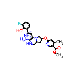 COC(=O)c1cnc(OC2CC3CNC(N)=C(/C=C(\N)c4cccc(F)c4O)N3C2)cc1C